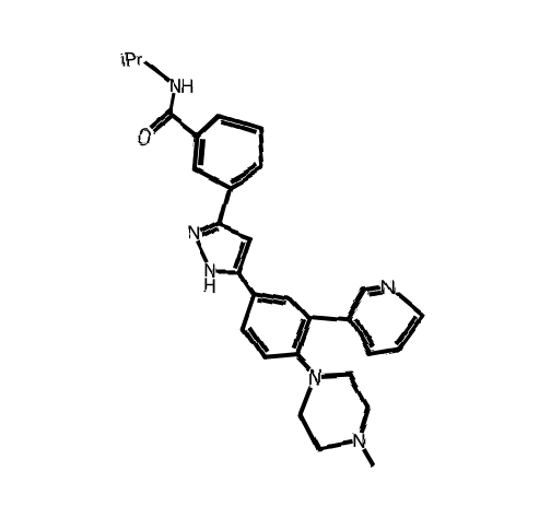 CC(C)NC(=O)c1cccc(-c2cc(-c3ccc(N4CCN(C)CC4)c(-c4cccnc4)c3)[nH]n2)c1